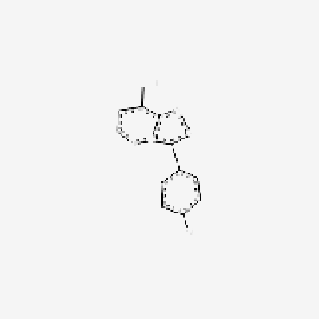 Nc1ccc(-c2nnc3c(C(=O)O)ccnn23)cc1